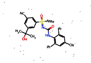 CNS(=O)(=NC(=O)Nc1c(C(C)C)cc(C#N)cc1C(C)C)c1cc(C#N)cc(C(C)(C)O)c1